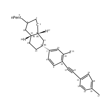 CCCCCC1CC[C@@H]2C[C@H](c3ccc(C#Cc4ccc(C)cc4)c(F)c3)CC[C@@H]2C1